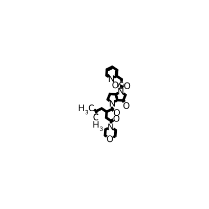 CC(C)CC(CC(=O)N1CCOCC1)C(=O)N1CCC2C1C(=O)CN2S(=O)(=O)Cc1ccccn1